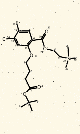 CC(C)(C)OC(=O)CCCOc1cc(Cl)c(Br)cc1C(=O)OCC[Si](C)(C)C